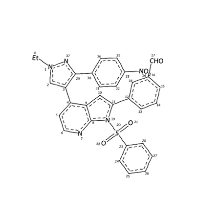 CCn1cc(-c2ccnc3c2cc(-c2cccc(C=O)c2)n3S(=O)(=O)c2ccccc2)c(-c2ccc([N+](=O)[O-])cc2)n1